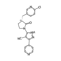 N#Cc1c(-c2ccncc2)n[nH]c1N1CC[C@H](Cc2ccc(Cl)nc2)C1=O